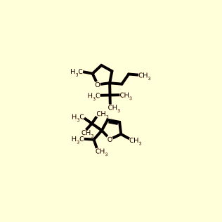 CC1C=CC(C(C)C)(C(C)(C)C)O1.CCCC1(C(C)(C)C)CCC(C)O1